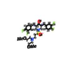 COCCN(CCOC)CC[S+]([O-])N1C/C(=C\c2ccc(F)c(F)c2)C(=O)/C(=C/c2ccc(F)c(F)c2)C1